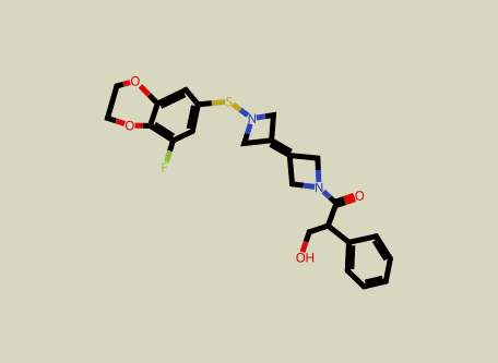 O=C(C(CO)c1ccccc1)N1CC(=C2CN(Sc3cc(F)c4c(c3)OCCO4)C2)C1